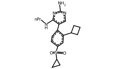 CCCNc1nc(N)ncc1-c1ccc(S(=O)(=O)C2CC2)cc1C1CCC1